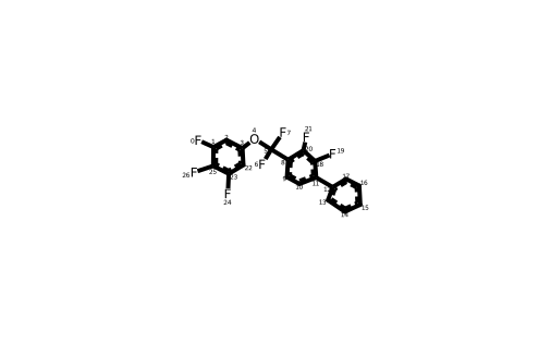 Fc1cc(OC(F)(F)c2ccc(-c3ccccc3)c(F)c2F)cc(F)c1F